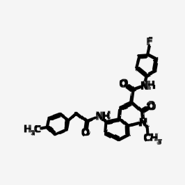 CCn1c(=O)c(C(=O)Nc2ccc(F)cc2)cc2c(NC(=O)Cc3ccc(C)cc3)cccc21